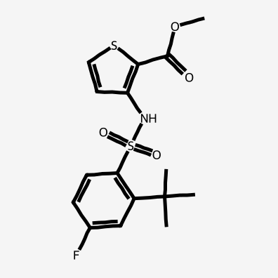 COC(=O)c1sccc1NS(=O)(=O)c1ccc(F)cc1C(C)(C)C